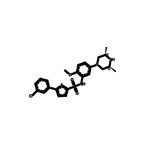 COc1ccc(N2C[C@@H](C)N[C@@H](C)C2)cc1NS(=O)(=O)c1ccc(-c2cccc(Cl)c2)s1